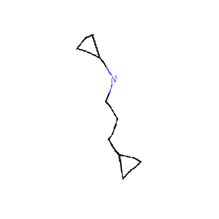 C(C[N]C1CC1)CC1CC1